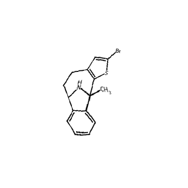 CC12NC(CCc3cc(Br)sc31)c1ccccc12